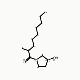 CCCCCCCC(C)C(=O)N1CC[C@H](O)C1